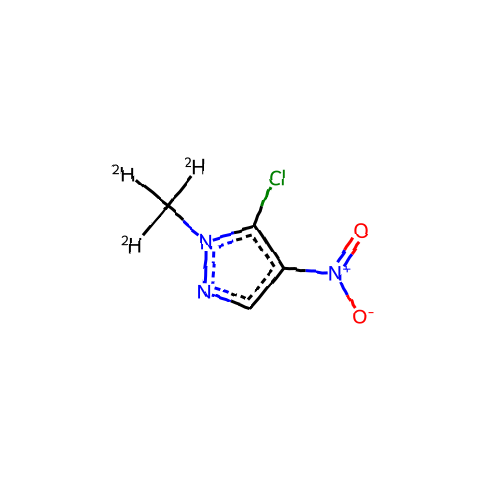 [2H]C([2H])([2H])n1ncc([N+](=O)[O-])c1Cl